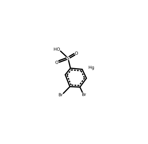 O=S(=O)(O)c1ccc(Br)c(Br)c1.[Hg]